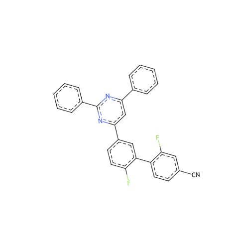 N#Cc1ccc(-c2cc(-c3cc(-c4ccccc4)nc(-c4ccccc4)n3)ccc2F)c(F)c1